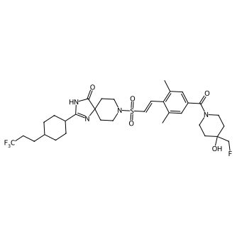 Cc1cc(C(=O)N2CCC(O)(CF)CC2)cc(C)c1C=CS(=O)(=O)N1CCC2(CC1)N=C(C1CCC(CCC(F)(F)F)CC1)NC2=O